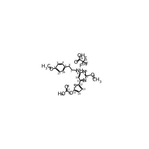 COc1ccc(CCNc2cc(-c3ccc(OC(=O)O)s3)nc(OC)n2)cc1.O=C(O)C(F)(F)F